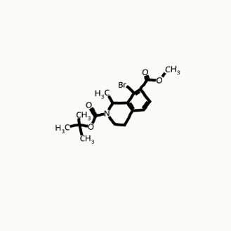 COC(=O)c1ccc2c(c1Br)C(C)N(C(=O)OC(C)(C)C)CC2